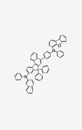 c1ccc(N(c2ccc3c(c2)C(c2ccccc2)(c2ccccc2)c2cc(-c4ccc(N(c5ccccc5)c5cccc6c5oc5ccccc56)cc4)c4ccccc4c2-3)c2ccc3ccccc3c2)cc1